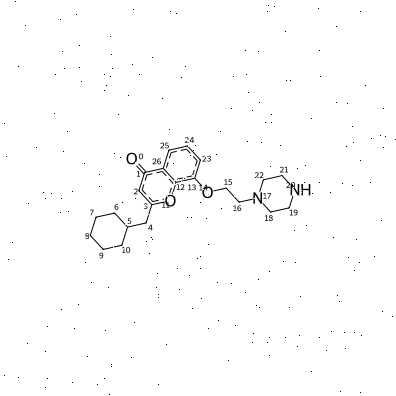 O=c1cc(CC2CCCCC2)oc2c(OCCN3CCNCC3)cccc12